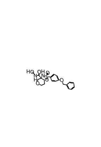 O=C(NO)C1(NS(=O)(=O)c2ccc(OCc3ccccc3)cc2)CCCOC1